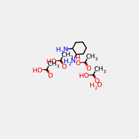 CC(=O)O.CC(=O)O.CC(=O)O.CC(=O)O.NC1CCCCC1N.O